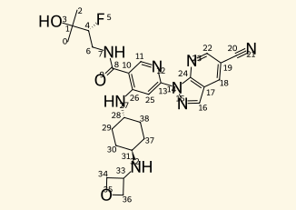 CC(C)(O)[C@H](F)CNC(=O)c1cnc(-n2ncc3cc(C#N)cnc32)cc1N[C@H]1CC[C@H](NC2COC2)CC1